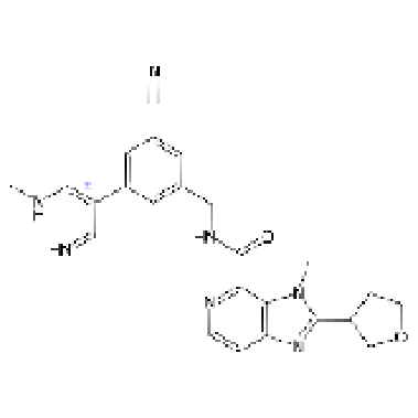 CN/C=C(\C=N)c1cc(C#N)cc(CNC(=O)c2nccc3nc(C4CCOC4)n(C)c23)c1